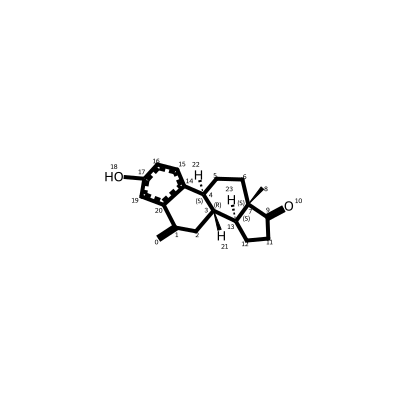 C=C1C[C@@H]2[C@H](CC[C@]3(C)C(=O)CC[C@@H]23)c2ccc(O)cc21